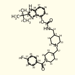 CC(C)(C)c1nc2c(OC(=O)NCC3CCN(CC4CCN(C(=O)c5ccc(F)cc5)CC4)CC3)cccc2[nH]1